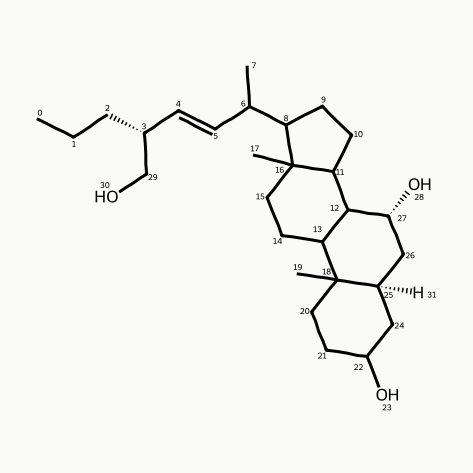 CCC[C@H](/C=C/C(C)C1CCC2C3C(CCC12C)C1(C)CCC(O)C[C@@H]1C[C@H]3O)CO